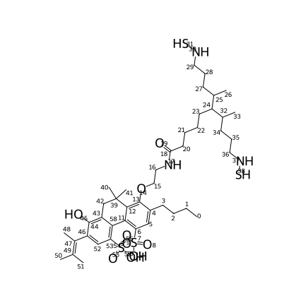 CCCCc1cc(S(=O)(=O)O)c2c(c1OCCNC(=O)CCCCC(C(C)CCCNS)C(C)CCCNS)C(C)(C)Cc1c(O)c(C(C)=C(C)C)cc(S(=O)(=O)O)c1-2